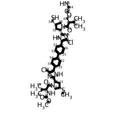 COC(=O)N[C@H](C(=O)N1C[C@@H](SC)CC1c1nc(Cl)c(-c2ccc(-c3ccc(-c4[nH]c([C@@H]5C[C@H](CS)CN5C(=O)[C@@H](COOC=N)C(C)C)nc4Cl)cc3)cc2)[nH]1)C(C)C